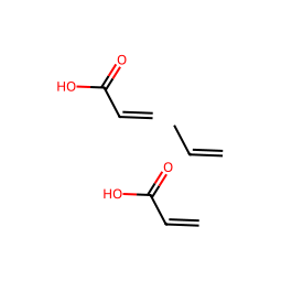 C=CC.C=CC(=O)O.C=CC(=O)O